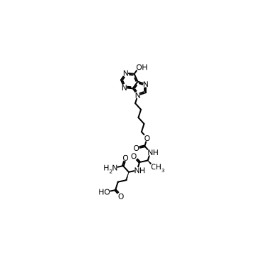 C[C@H](NC(=O)OCCCCCn1cnc2c(O)ncnc21)C(=O)N[C@@H](CCC(=O)O)C(N)=O